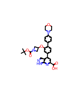 CC(C)(C)OC(=O)N1CC(Oc2cc(-c3cc(C(=O)O)nc4[nH]ncc34)ccc2-c2ccc(N3CCOCC3)cc2)C1